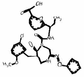 CC[C@@H](NC(=O)N1CC(=NOc2ccccc2)NC[C@@H](Cc2cc(Cl)ccc2OC)C1=O)c1ccc(C(=O)O)o1